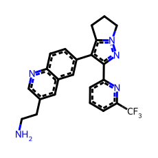 NCCc1cnc2ccc(-c3c(-c4cccc(C(F)(F)F)n4)nn4c3CCC4)cc2c1